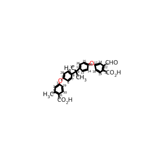 Cc1cc(Oc2ccc(C(C)(C)c3ccc(Oc4ccc(C(=O)O)c(C=O)c4)cc3)cc2)ccc1C(=O)O